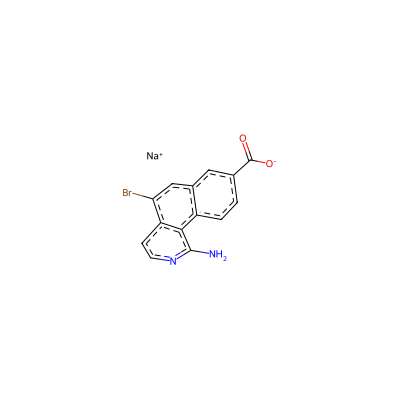 Nc1nccc2c(Br)cc3cc(C(=O)[O-])ccc3c12.[Na+]